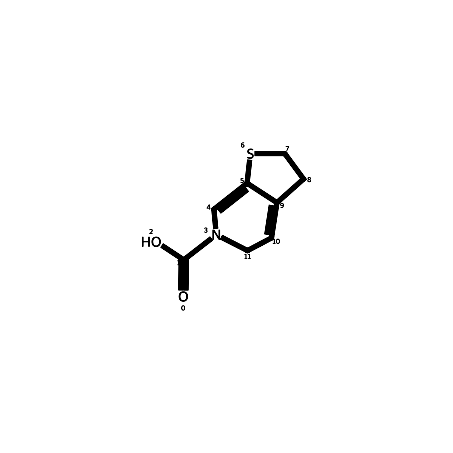 O=C(O)N1C=C2SCCC2=CC1